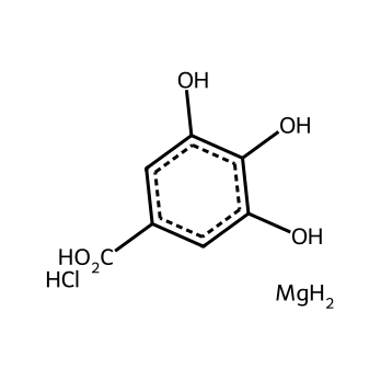 Cl.O=C(O)c1cc(O)c(O)c(O)c1.[MgH2]